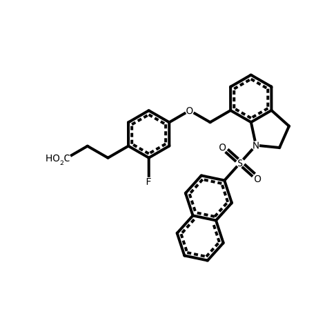 O=C(O)CCc1ccc(OCc2cccc3c2N(S(=O)(=O)c2ccc4ccccc4c2)CC3)cc1F